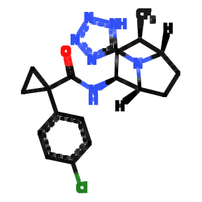 O=C(N[C@H]1C[C@@H](C(F)(F)F)[C@@H]2CC[C@H]1N2c1nnn[nH]1)C1(c2ccc(Cl)cc2)CC1